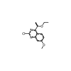 C=C(OCC)c1nc(Cl)nc2cc(OC)ccc12